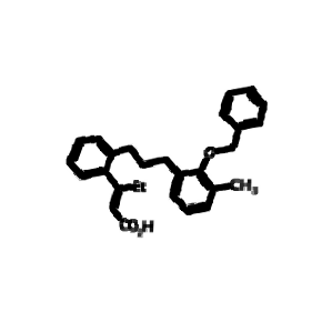 CC/C(=C\C(=O)O)c1ccccc1CCCc1cccc(C)c1OCc1ccccc1